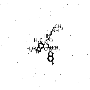 CCNCCNC(=O)CN(CC(=O)N(C)N1Cc2ccc(F)cc2C1)c1cc2cnn(C)c2cc1C.Cl